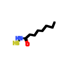 CCCCCCCC(=O)NS